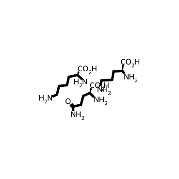 NC(=O)CC[C@H](N)C(=O)O.NCCCC[C@H](N)C(=O)O.NCCC[C@H](N)C(=O)O